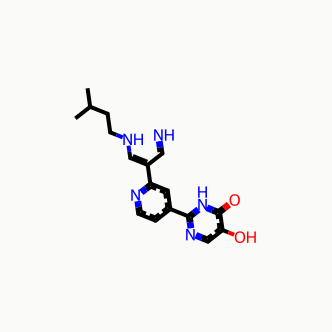 CC(C)CCN/C=C(\C=N)c1cc(-c2ncc(O)c(=O)[nH]2)ccn1